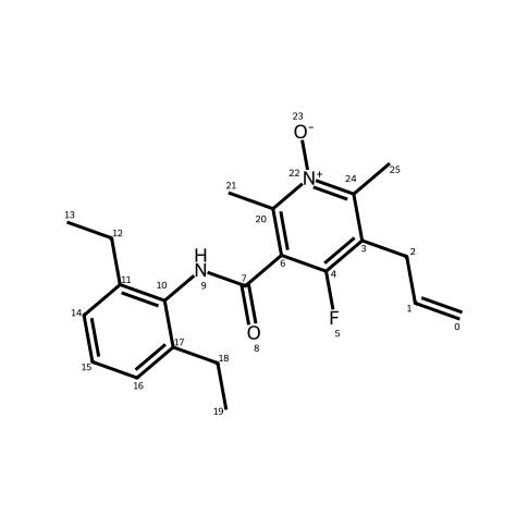 C=CCc1c(F)c(C(=O)Nc2c(CC)cccc2CC)c(C)[n+]([O-])c1C